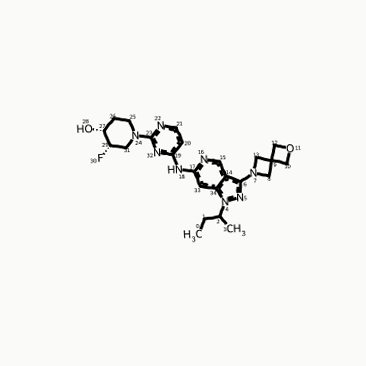 CCC(C)n1nc(N2CC3(COC3)C2)c2cnc(Nc3ccnc(N4CC[C@@H](O)[C@@H](F)C4)n3)cc21